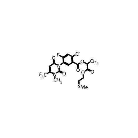 CSCCOC(=O)C(C)OC(=O)c1cc(-n2c(=O)cc(C(F)(F)F)n(C)c2=O)c(F)cc1Cl